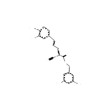 N#C/C(=C\C=C\c1ccc(O)c(O)c1)C(=O)NCc1cc(O)cc(O)c1